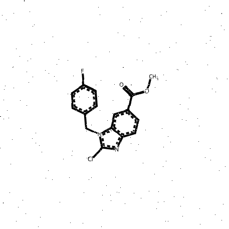 COC(=O)c1ccc2nc(Cl)n(Cc3ccc(F)cc3)c2c1